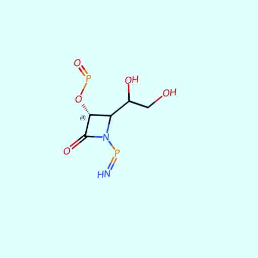 N=PN1C(=O)[C@H](OP=O)C1C(O)CO